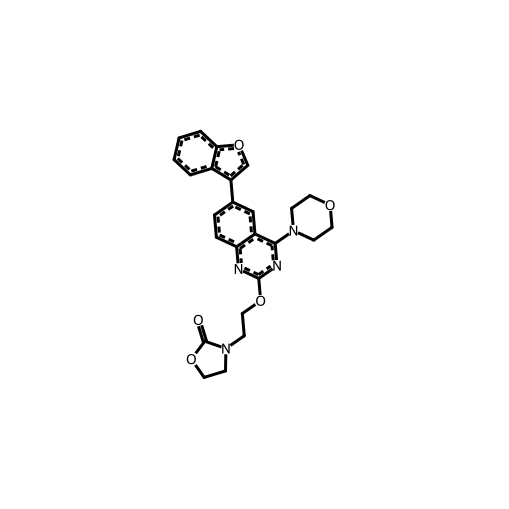 O=C1OCCN1CCOc1nc(N2CCOCC2)c2cc(-c3coc4ccccc34)ccc2n1